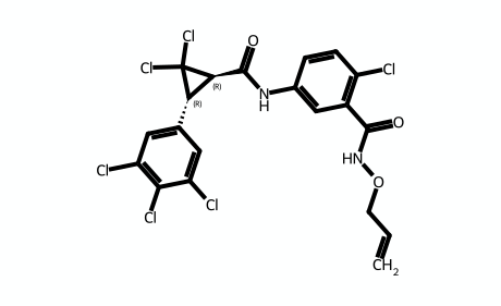 C=CCONC(=O)c1cc(NC(=O)[C@H]2[C@H](c3cc(Cl)c(Cl)c(Cl)c3)C2(Cl)Cl)ccc1Cl